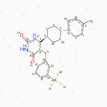 Cc1ccc([C@H]2CC[C@H](c3[nH]c(=O)[nH]c(=O)c3Cc3cccc(C(F)(F)F)c3)CC2)cc1